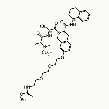 C[C@@H](C(=O)N[C@H](C(=O)N1Cc2cc(OCCOCCOCCNC(=O)OC(C)(C)C)ccc2C[C@H]1C(=O)N[C@@H]1CCCc2ccccc21)C(C)(C)C)N(C)C(=O)O